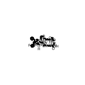 CC(C)[C@H](NC(=O)CCCCCN1C(=O)C=CC1=O)C(=O)N[C@@H](C)C(=O)N[C@@H](CCCCNC(=O)[C@@H](C)NC(=O)[C@@H](N)CCN(C(=O)CO)[C@@H](c1nn(-c2cc(F)ccc2F)cc1Cc1ccccc1)C(C)(C)C)C(=O)O